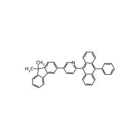 CC1(C)c2ccccc2-c2cc(-c3ccc(-c4c5ccccc5c(-c5ccccc5)c5ccccc45)nc3)ccc21